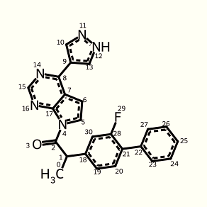 CC(C(=O)n1ccc2c(-c3cn[nH]c3)ncnc21)c1ccc(-c2ccccc2)c(F)c1